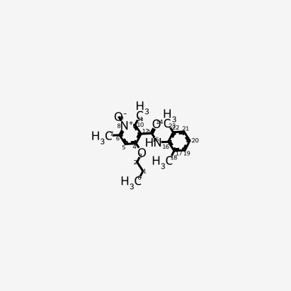 CCCOc1cc(C)[n+]([O-])c(C)c1C(=O)Nc1c(C)cccc1C